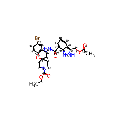 CCOC(=O)N1CCC2(CC1)C[C@H](NC(=O)c1cccc3c(COC(C)=O)[nH]nc13)c1cc(Br)ccc1O2